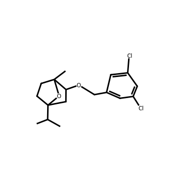 CC(C)C12CCC(C)(O1)C(OCc1cc(Cl)cc(Cl)c1)C2